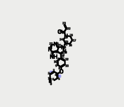 C#C/C=C\C(=C/C)Oc1ccc(-c2nn([C@@H]3CCCN(C(=O)C=C)C3)c3ncnc(N)c23)cc1